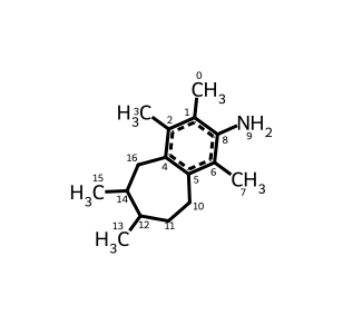 Cc1c(C)c2c(c(C)c1N)CCC(C)C(C)C2